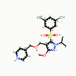 COc1nn(C(C)C)c(S(=O)(=O)c2cc(Cl)cc(Cl)c2)c1COCc1ccncc1